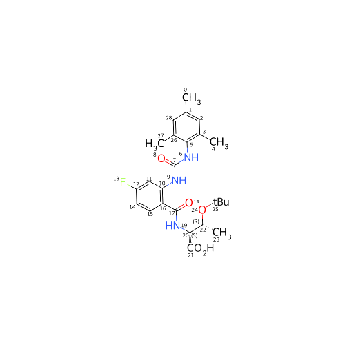 Cc1cc(C)c(NC(=O)Nc2cc(F)ccc2C(=O)N[C@H](C(=O)O)[C@@H](C)OC(C)(C)C)c(C)c1